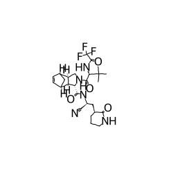 CC(C)(C)[C@H](NC(=O)C(F)(F)F)C(=O)N1C[C@H]2[C@@H]([C@H]1C(=O)N[C@H](C#N)C[C@@H]1CCCNC1=O)[C@H]1C=C[C@@H]2C1